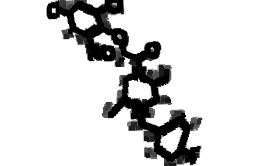 CC1CN(C(=O)COc2c(Cl)cc(Cl)cc2[N+](=O)[O-])C(C)CN1Cc1ccc(F)cc1